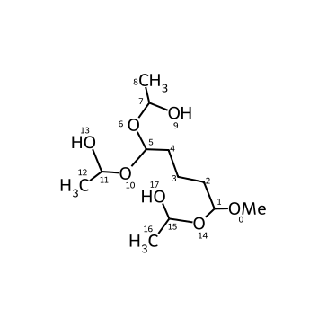 COC(CCCC(OC(C)O)OC(C)O)OC(C)O